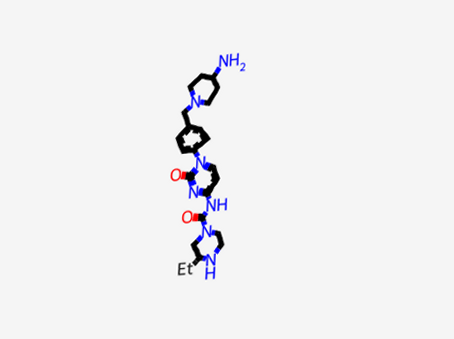 CCC1CN(C(=O)Nc2ccn(-c3ccc(CN4CCC(N)CC4)cc3)c(=O)n2)CCN1